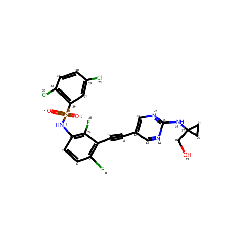 O=S(=O)(Nc1ccc(F)c(C#Cc2cnc(NC3(CO)CC3)nc2)c1F)c1cc(Cl)ccc1Cl